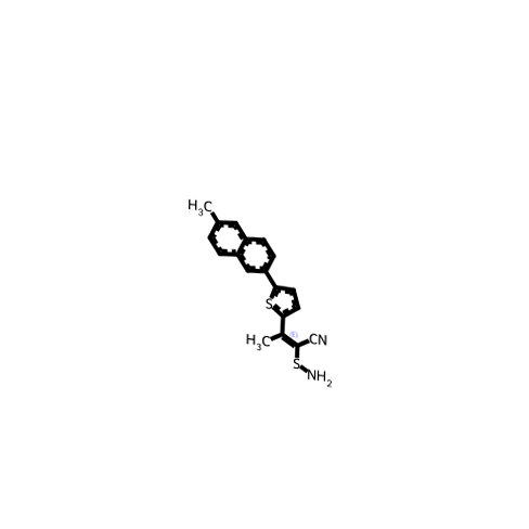 C/C(=C(/C#N)SN)c1ccc(-c2ccc3cc(C)ccc3c2)s1